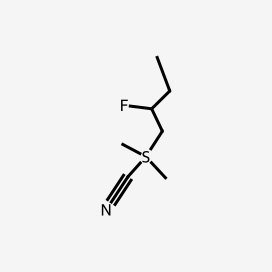 CCC(F)CS(C)(C)C#N